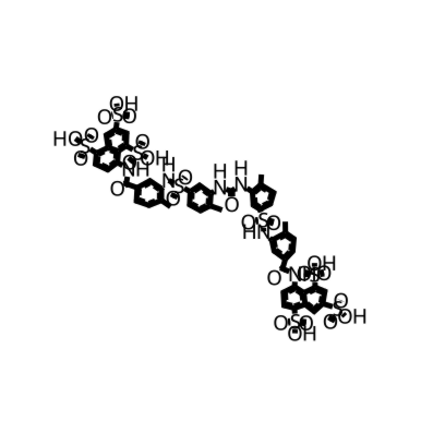 Cc1ccc(S(=O)(=O)Nc2cc(C(=O)Nc3ccc(S(=O)(=O)O)c4cc(S(=O)(=O)O)cc(S(=O)(=O)O)c34)ccc2C)cc1NC(=O)Nc1cc(S(=O)(=O)Nc2cc(C(=O)Nc3ccc(S(=O)(=O)O)c4cc(S(=O)(=O)O)cc(S(=O)(=O)O)c34)ccc2C)ccc1C